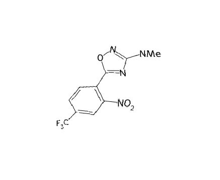 CNc1noc(-c2ccc(C(F)(F)F)cc2[N+](=O)[O-])n1